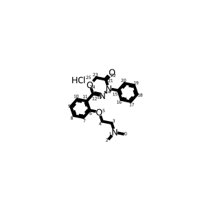 CN(C)CCOc1ccccc1C1=NN(c2ccccc2)C(=O)CO1.Cl